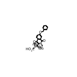 CCCCOc1c(C(NC(=O)O)C(C)(C)C)n(CC(C)(C)C)c(=O)c2cc(OCc3ccccc3)ccc12